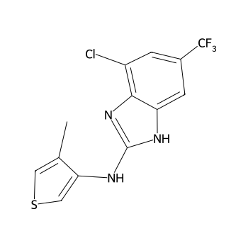 Cc1cscc1Nc1nc2c(Cl)cc(C(F)(F)F)cc2[nH]1